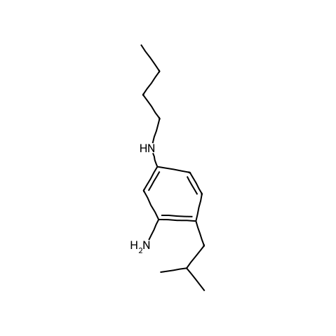 CCCCNc1ccc(CC(C)C)c(N)c1